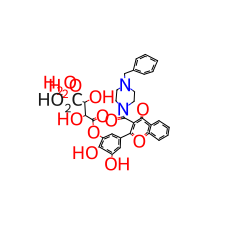 O.O.O=C(O)C(O)C(O)C(=O)Oc1cc(-c2oc3ccccc3c(=O)c2C(=O)N2CCN(Cc3ccccc3)CC2)cc(O)c1O